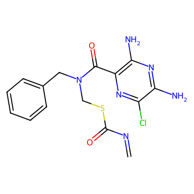 C=NC(=O)SCN(Cc1ccccc1)C(=O)c1nc(Cl)c(N)nc1N